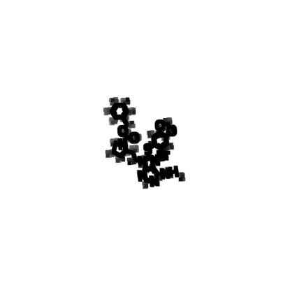 Nc1ncnc2c1nc(Sc1cc3c(cc1Br)OCO3)n2CCC1CCCN1C(=O)OCc1ccccc1